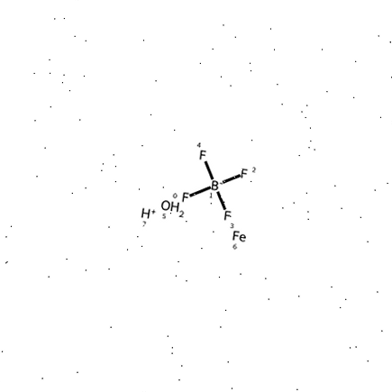 F[B-](F)(F)F.O.[Fe].[H+]